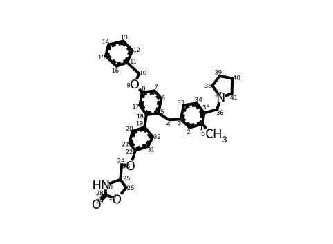 Cc1cc(Cc2ccc(OCc3ccccc3)cc2-c2ccc(OCC3COC(=O)N3)cc2)ccc1CN1CCCC1